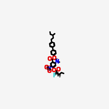 CCC(C)CCc1ccc(-c2ccc(OC(=O)c3cc([N+](=O)[O-])c(OC(=O)[C@@H](F)[C@@H](C)CC)cc3N(C)C)cc2)cc1